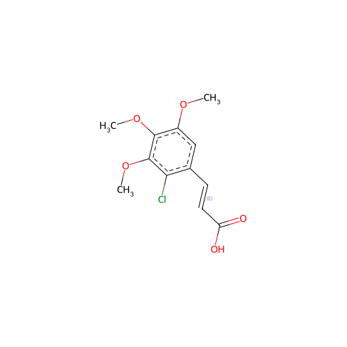 COc1cc(/C=C/C(=O)O)c(Cl)c(OC)c1OC